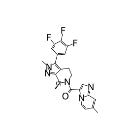 Cc1ccn2c(C(=O)N3CCc4c(nn(C)c4-c4cc(F)c(F)c(F)c4)[C@@H]3C)cnc2c1